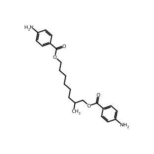 CC(CCCCCCOC(=O)c1ccc(N)cc1)COC(=O)c1ccc(N)cc1